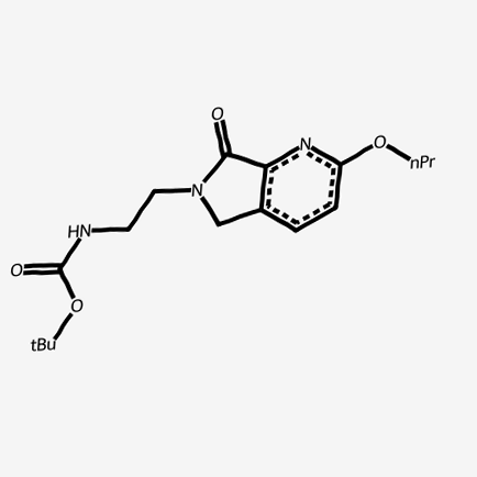 CCCOc1ccc2c(n1)C(=O)N(CCNC(=O)OC(C)(C)C)C2